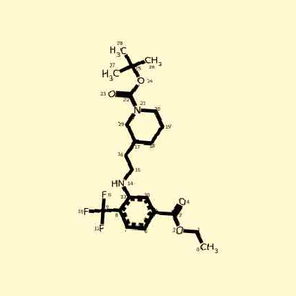 CCOC(=O)c1ccc(C(F)(F)F)c(NCCC2CCCN(C(=O)OC(C)(C)C)C2)c1